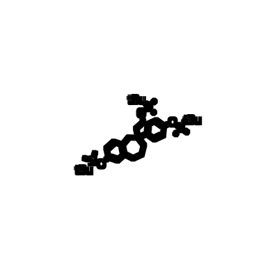 CC(C)(C)[Si](C)(C)OCCC1(c2ccc(O[Si](C)(C)C(C)(C)C)cc2)CCCc2cc(O[Si](C)(C)C(C)(C)C)ccc2C1